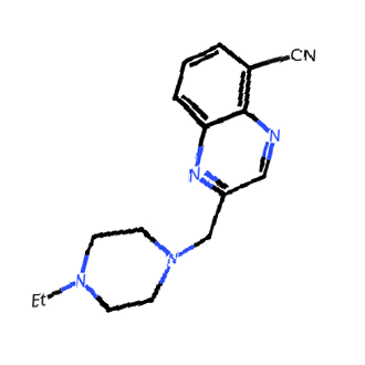 CCN1CCN(Cc2cnc3c(C#N)cccc3n2)CC1